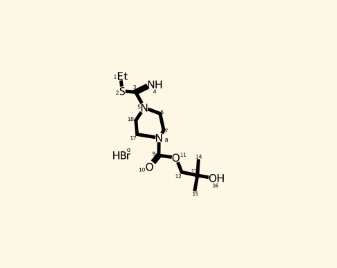 Br.CCSC(=N)N1CCN(C(=O)OCC(C)(C)O)CC1